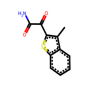 Cc1c(C(=O)C(N)=O)sc2ccccc12